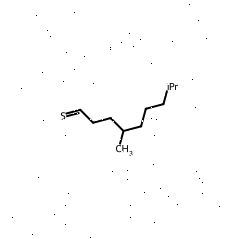 CC(C)CCCC(C)CCC=S